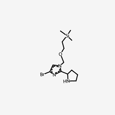 C[Si](C)(C)CCOCn1cc(Br)nc1C1CCCN1